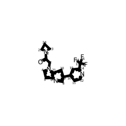 O=C(Cn1ccc2ncc(-c3ccnc(C(F)(F)F)c3)cc21)N1CCC1